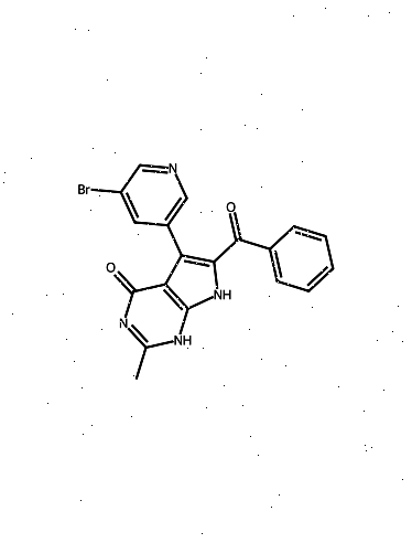 Cc1nc(=O)c2c(-c3cncc(Br)c3)c(C(=O)c3ccccc3)[nH]c2[nH]1